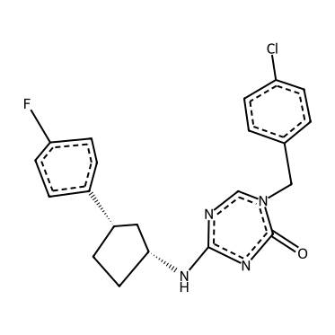 O=c1nc(N[C@@H]2CC[C@H](c3ccc(F)cc3)C2)ncn1Cc1ccc(Cl)cc1